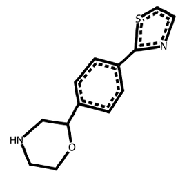 c1csc(-c2ccc(C3CNCCO3)cc2)n1